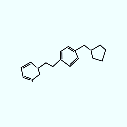 C1=CN(CCc2ccc(CN3CCCC3)cc2)CN=C1